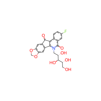 O=C1c2cc3c(cc2-c2c1c1ccc(F)cc1c(=O)n2C[C@H](O)[C@H](O)[C@H](O)CO)OCO3